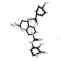 CC(C)CC(NC(=O)c1ccc(F)cc1)C1CCN(C(=O)Oc2ccnc(F)c2F)CC1